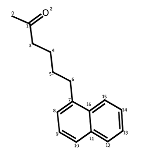 CC(=O)CC[CH]Cc1cccc2ccccc12